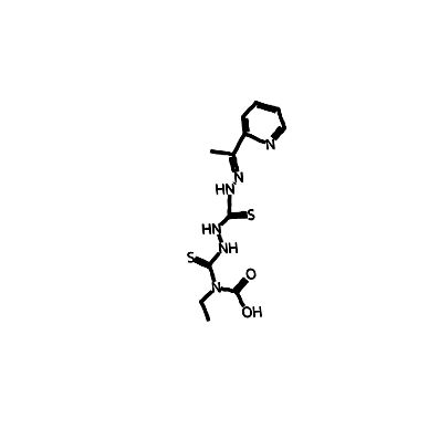 CCN(C(=O)O)C(=S)NNC(=S)NN=C(C)c1ccccn1